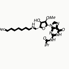 CCCCCCCCCCCCCCCCCNC[C@H]1O[C@@H](n2cnc3c(=O)[nH]c(NC(=O)C(C)C)nc32)[C@H](OC)[C@@H]1O